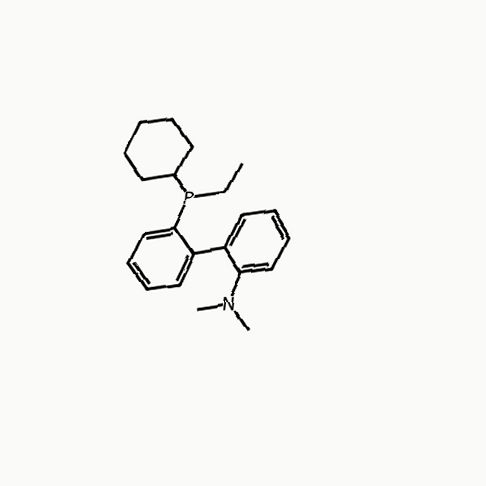 CCP(c1ccccc1-c1ccccc1N(C)C)C1CCCCC1